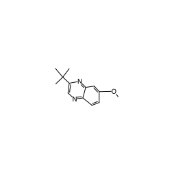 COc1ccc2ncc(C(C)(C)C)nc2c1